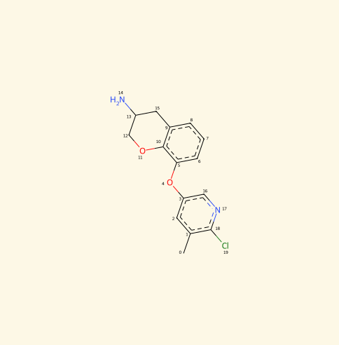 Cc1cc(Oc2cccc3c2OCC(N)C3)cnc1Cl